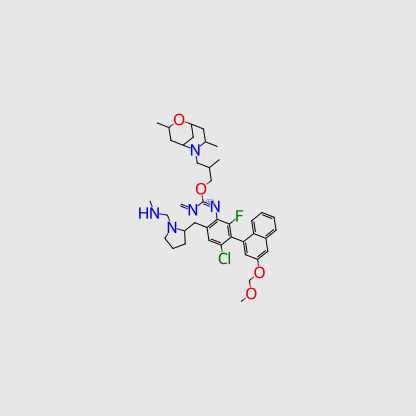 C=N/C(=N\c1c(CC2CCCN2CNC)cc(Cl)c(-c2cc(OCOC)cc3ccccc23)c1F)OCC(C)CN1C(C)CC2CC1CC(C)O2